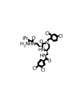 CC(C)C(N)C(=O)NCC[C@@H]1N[C@H](CNC(=O)c2ccc(Cl)c(Cl)c2)CCN(Cc2ccc(Cl)cc2Cl)C1=O